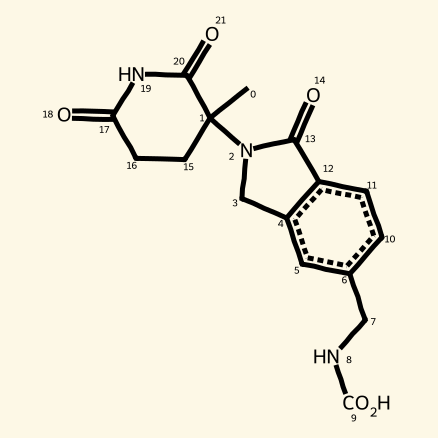 CC1(N2Cc3cc(CNC(=O)O)ccc3C2=O)CCC(=O)NC1=O